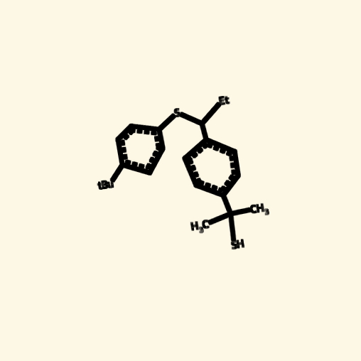 CCC(Sc1ccc(C(C)(C)C)cc1)c1ccc(C(C)(C)S)cc1